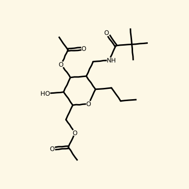 CCCC1OC(COC(C)=O)C(O)C(OC(C)=O)C1CNC(=O)C(C)(C)C